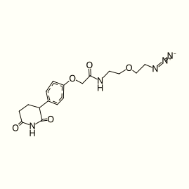 [N-]=[N+]=NCCOCCNC(=O)COc1ccc(C2CCC(=O)NC2=O)cc1